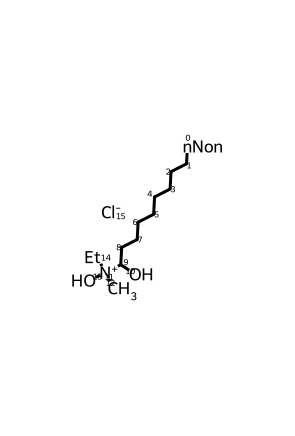 CCCCCCCCCCCCCCCCCC(O)[N+](C)(O)CC.[Cl-]